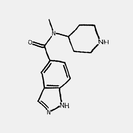 CN(C(=O)c1ccc2[nH]ncc2c1)C1CCNCC1